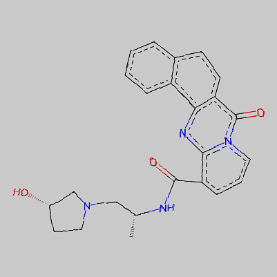 C[C@H](CN1CC[C@H](O)C1)NC(=O)c1cccn2c(=O)c3ccc4ccccc4c3nc12